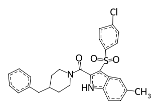 Cc1ccc2[nH]c(C(=O)N3CCC(Cc4ccccc4)CC3)c(S(=O)(=O)c3ccc(Cl)cc3)c2c1